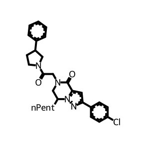 CCCCCC1CN(CC(=O)N2CCC(c3ccccc3)C2)C(=O)c2cc(-c3ccc(Cl)cc3)nn21